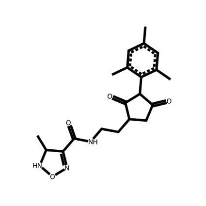 Cc1cc(C)c(C2C(=O)CC(CCNC(=O)C3=NONC3C)C2=O)c(C)c1